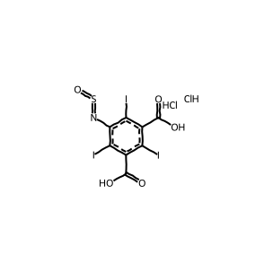 Cl.Cl.O=S=Nc1c(I)c(C(=O)O)c(I)c(C(=O)O)c1I